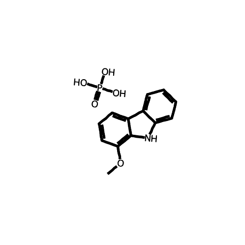 COc1cccc2c1[nH]c1ccccc12.O=P(O)(O)O